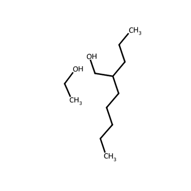 CCCCCC(CO)CCC.CCO